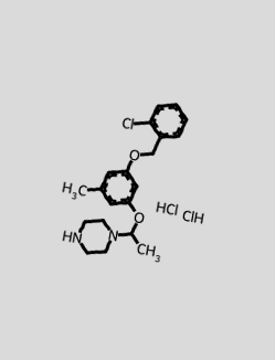 Cc1cc(OCc2ccccc2Cl)cc(OC(C)N2CCNCC2)c1.Cl.Cl